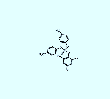 Cc1ccc(OP(=O)(Oc2ccc(C)cc2)Oc2c(Br)cc(Br)cc2Br)cc1